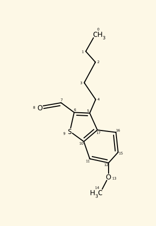 CCCCCc1c(C=O)sc2cc(OC)ccc12